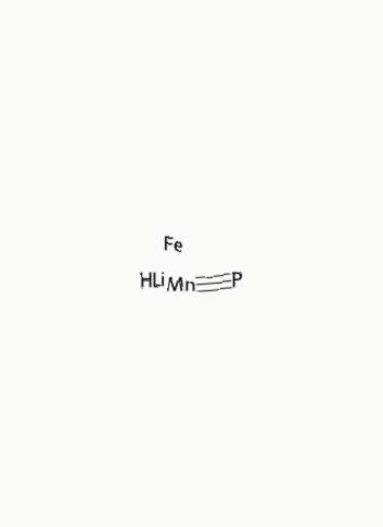 [Fe].[LiH].[P]#[Mn]